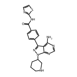 Nc1ncnc2c1c(-c1ccc(C(=O)Nc3nccs3)cc1)nn2C1CCCNC1